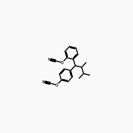 CC(C)C(C)C(c1ccc(OC#N)cc1)c1ccccc1OC#N